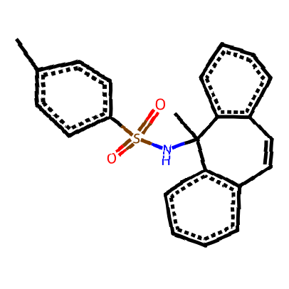 Cc1ccc(S(=O)(=O)NC2(C)c3ccccc3C=Cc3ccccc32)cc1